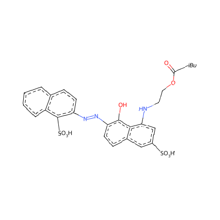 CCC(C)C(=O)OCCNc1cc(S(=O)(=O)O)cc2ccc(/N=N/c3ccc4ccccc4c3S(=O)(=O)O)c(O)c12